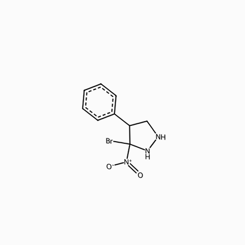 O=[N+]([O-])C1(Br)NNCC1c1ccccc1